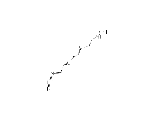 [N-]=[N+]=NCCOCCOCCNO